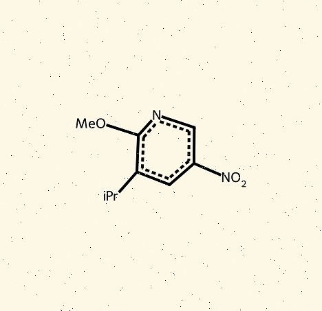 COc1ncc([N+](=O)[O-])cc1C(C)C